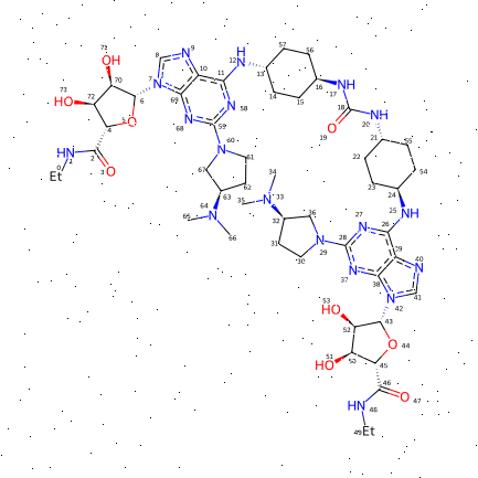 CCNC(=O)[C@H]1O[C@@H](n2cnc3c(N[C@H]4CC[C@H](NC(=O)N[C@H]5CC[C@H](Nc6nc(N7CC[C@@H](N(C)C)C7)nc7c6ncn7[C@@H]6O[C@H](C(=O)NCC)[C@@H](O)[C@H]6O)CC5)CC4)nc(N4CC[C@@H](N(C)C)C4)nc32)[C@H](O)[C@@H]1O